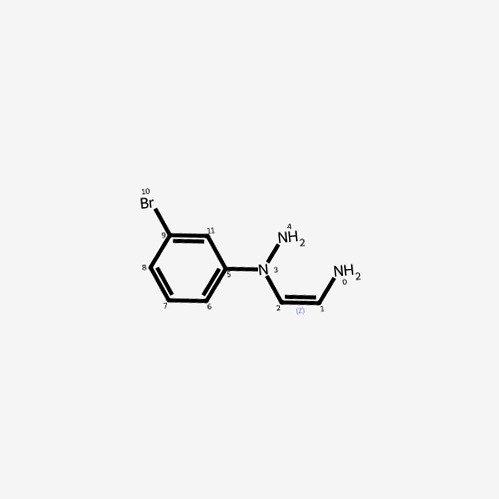 N/C=C\N(N)c1cccc(Br)c1